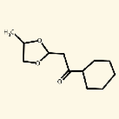 CC1COC(CC(=O)C2CCCCC2)O1